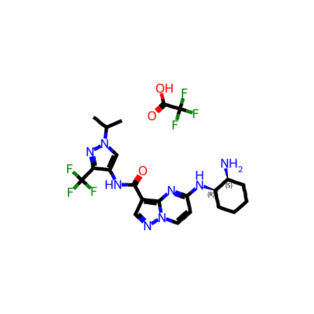 CC(C)n1cc(NC(=O)c2cnn3ccc(N[C@@H]4CCCC[C@@H]4N)nc23)c(C(F)(F)F)n1.O=C(O)C(F)(F)F